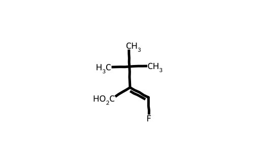 CC(C)(C)/C(=C/F)C(=O)O